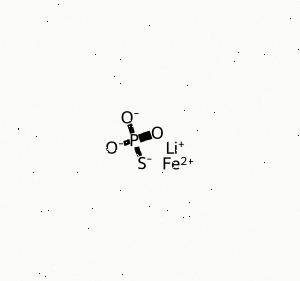 O=P([O-])([O-])[S-].[Fe+2].[Li+]